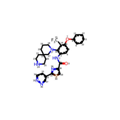 O=C(Nc1ccc(Oc2ccccc2)c(C(F)(F)F)c1N1CCCC2(CCNCC2)C1)c1csc(-c2ccnnc2)n1